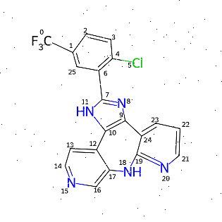 FC(F)(F)c1ccc(Cl)c(-c2nc3c([nH]2)-c2ccncc2Nc2ncccc2-3)c1